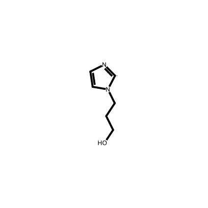 OCCCn1[c]ncc1